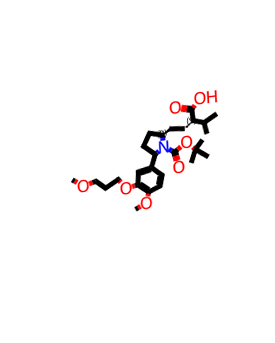 COCCCOc1cc(C2CC[C@@H](CC[C@H](C(=O)O)C(C)C)N2C(=O)OC(C)(C)C)ccc1OC